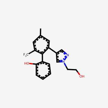 Cc1cc(-c2cnn(CCO)c2)c(-c2ccccc2O)c(C(F)(F)F)c1